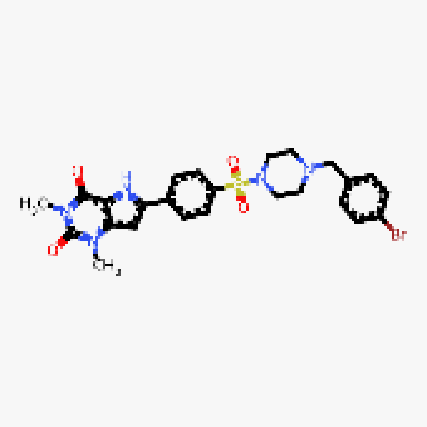 Cn1c(=O)c2[nH]c(-c3ccc(S(=O)(=O)N4CCN(Cc5ccc(Br)cc5)CC4)cc3)cc2n(C)c1=O